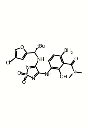 Bc1ccc(NC2=NS(=O)(=O)N=C2N[C@@H](c2cc(Cl)co2)C(C)(C)C)c(O)c1C(=O)N(C)C